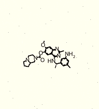 COc1cc2nc(C)nc(N[C@H](C)c3cc(C)cc(N)c3)c2cc1OC(=O)N1CCN2CCCC2C1